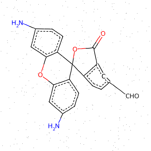 Nc1ccc2c(c1)Oc1cc(N)ccc1C21OC(=O)c2cc(C=O)ccc21